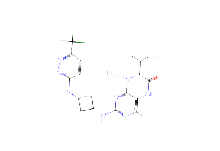 Cc1nc(N[C@H]2C[C@H](Nc3ccc(C(F)(F)F)nn3)C2)nc2c1NC(=O)C(C(C)C)N2C